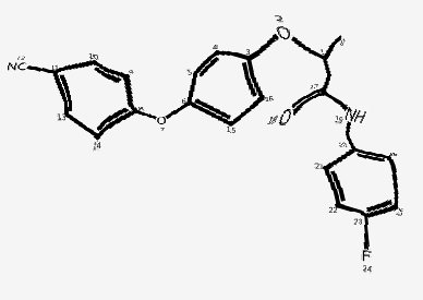 CC(Oc1ccc(Oc2ccc(C#N)cc2)cc1)C(=O)Nc1ccc(F)cc1